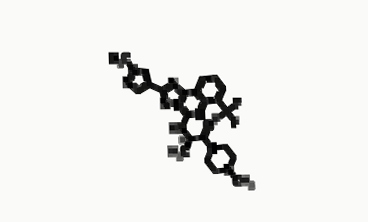 C[C@@H](Nc1nc2c(C(F)(F)F)cccc2c2nc(-c3cnn(C)c3)nn12)C(=O)N1CCN(C)CC1